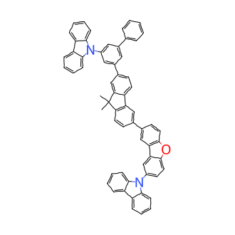 CC1(C)c2ccc(-c3ccc4oc5ccc(-n6c7ccccc7c7ccccc76)cc5c4c3)cc2-c2ccc(-c3cc(-c4ccccc4)cc(-n4c5ccccc5c5ccccc54)c3)cc21